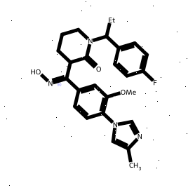 CCC(c1ccc(F)cc1)N1CCCC(/C(=N\O)c2ccc(-n3cnc(C)c3)c(OC)c2)C1=O